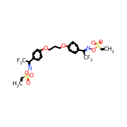 C=CS(=O)(=O)ON=C(c1ccc(OCCCOc2ccc(C(=NOS(=O)(=O)C=C)C(F)(F)F)cc2)cc1)C(F)(F)F